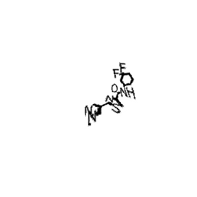 Cn1cc(-c2nc(C(=O)NC3CCCC(F)(F)C3)cs2)cn1